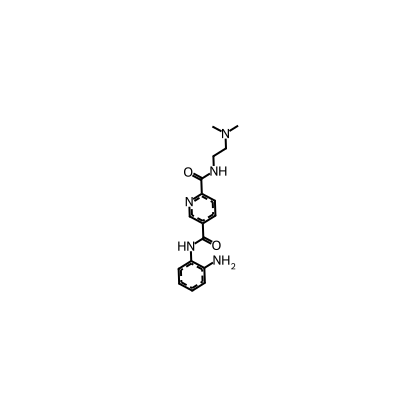 CN(C)CCNC(=O)c1ccc(C(=O)Nc2ccccc2N)cn1